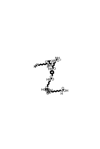 CC(C)C(NC(=O)CCCCCN=[N+]=[N-])C(=O)NC(CCCNC(N)=O)C(=O)Nc1ccc(COC(=O)NCCCCCOP(=O)(O)OP(=O)(O)OCCCCCCCNC(=O)O)cc1